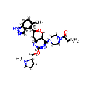 C=CC(=O)N1CCN(c2nc(OC[C@@H]3CCCN3C)nc3c2COC(c2c(C)ccc4[nH]ncc24)C3)CC1